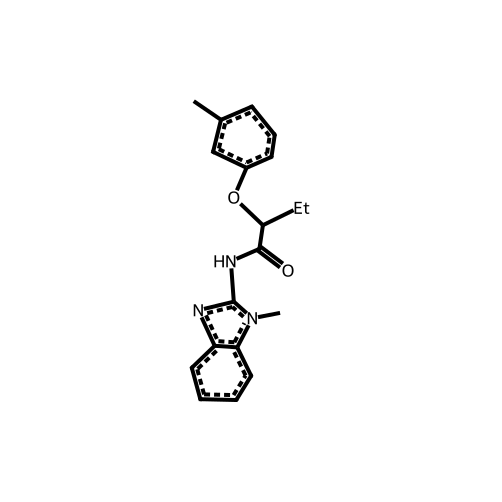 CCC(Oc1cccc(C)c1)C(=O)Nc1nc2ccccc2n1C